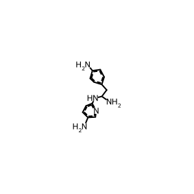 Nc1ccc(CC(N)Nc2ccc(N)cn2)cc1